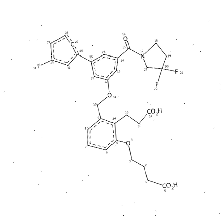 O=C(O)CCCOc1cccc(COc2cc(C(=O)N3CCC(F)(F)C3)cc(-c3cccc(F)c3)c2)c1CCC(=O)O